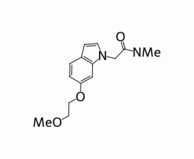 CNC(=O)Cn1ccc2ccc(OCCOC)cc21